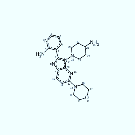 Nc1ncccc1-c1nc2ccc(N3CCOCC3)nc2n1N1CCC(N)CC1